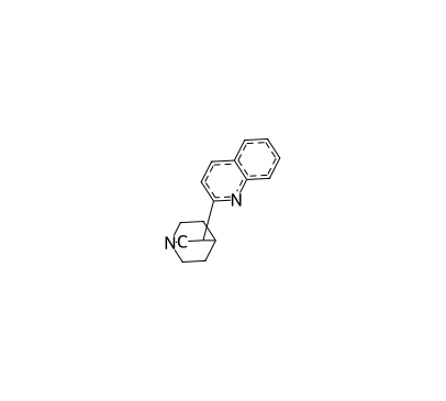 c1ccc2nc(C3CN4CCC3CC4)ccc2c1